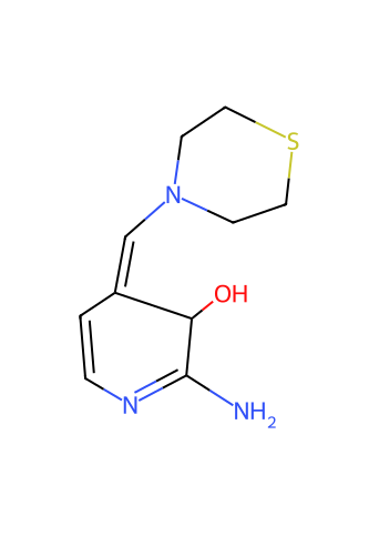 NC1=NC=CC(=CN2CCSCC2)C1O